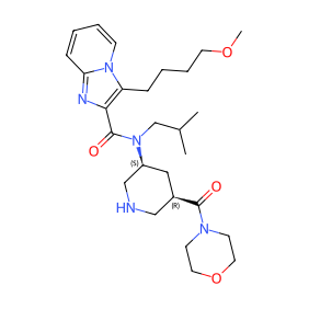 COCCCCc1c(C(=O)N(CC(C)C)[C@@H]2CNC[C@H](C(=O)N3CCOCC3)C2)nc2ccccn12